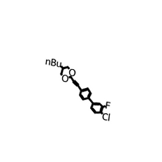 CCCCC1COC(C#Cc2ccc(-c3ccc(Cl)c(F)c3)cc2)OC1